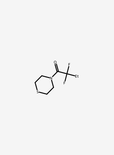 CCC(F)(F)C(=O)N1CCSCC1